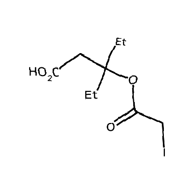 CCC(CC)(CC(=O)O)OC(=O)CI